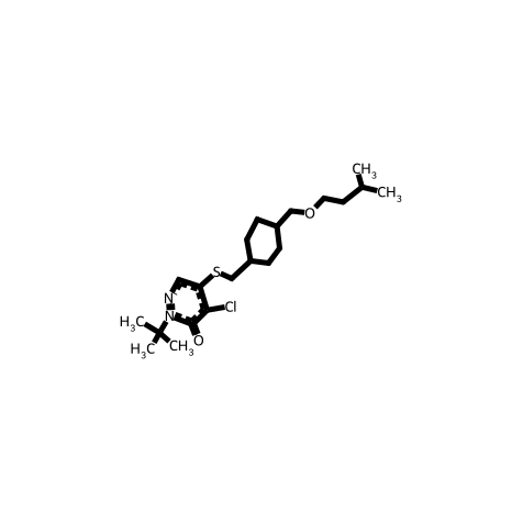 CC(C)CCOCC1CCC(CSc2cnn(C(C)(C)C)c(=O)c2Cl)CC1